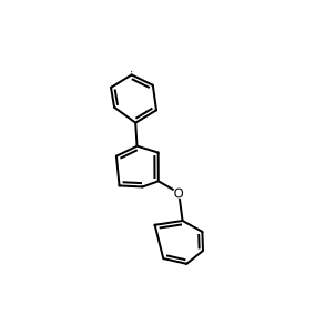 [c]1ccc(-c2cccc(Oc3ccccc3)c2)cc1